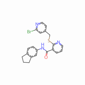 O=C(Nc1ccc2c(c1)CCC2)c1cccnc1SCc1ccnc(Br)c1